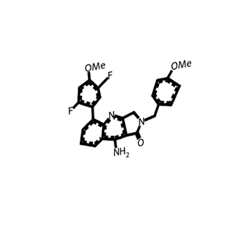 COc1ccc(CN2Cc3nc4c(-c5cc(F)c(OC)cc5F)cccc4c(N)c3C2=O)cc1